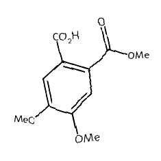 COC(=O)c1cc(OC)c(OC)cc1C(=O)O